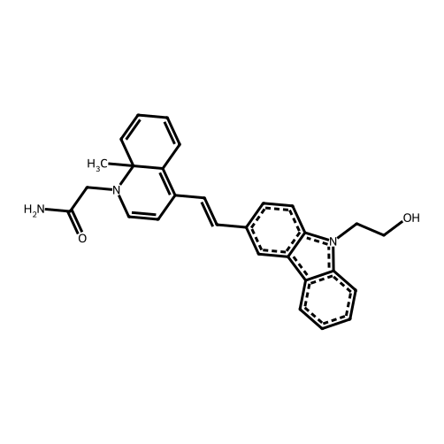 CC12C=CC=CC1=C(/C=C/c1ccc3c(c1)c1ccccc1n3CCO)C=CN2CC(N)=O